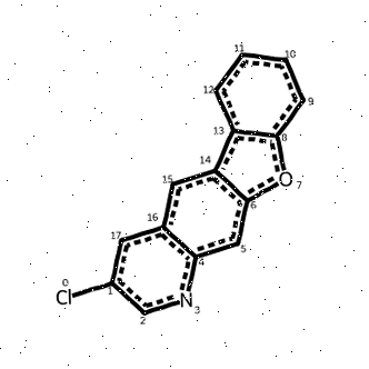 Clc1cnc2cc3oc4ccccc4c3cc2c1